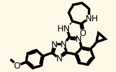 COc1ccc(-c2nc3c4cccc(C5CC5)c4nc(N[C@@H]4CCCCNC4=O)n3n2)cc1